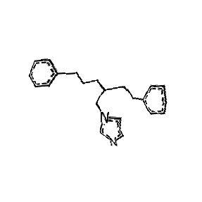 c1ccc(CCCC(CCc2ccccc2)Cn2ccnc2)cc1